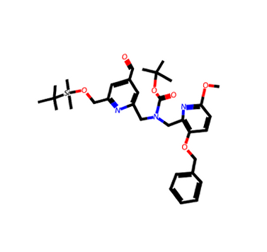 COc1ccc(OCc2ccccc2)c(CN(Cc2cc(C=O)cc(CO[Si](C)(C)C(C)(C)C)n2)C(=O)OC(C)(C)C)n1